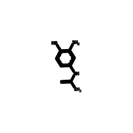 CC(=O)Nc1ccc(O)c(N)c1